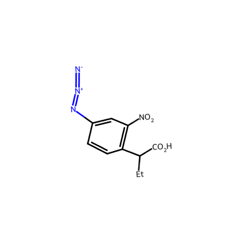 CCC(C(=O)O)c1ccc(N=[N+]=[N-])cc1[N+](=O)[O-]